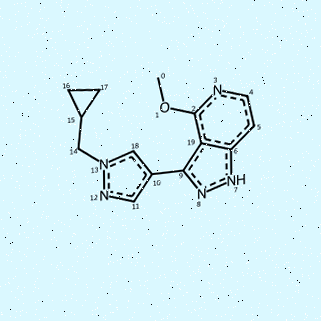 COc1nccc2[nH]nc(-c3cnn(CC4CC4)c3)c12